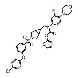 O=C(Oc1cccs1)N(CC1C2CN(S(=O)(=O)c3cccc(Oc4ccc(Cl)cc4)c3)CC12)c1ccc(N2CCOCC2)c(F)c1